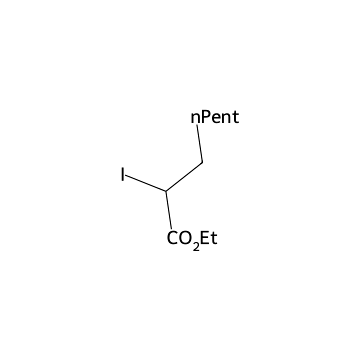 CCCCCCC(I)C(=O)OCC